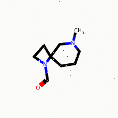 CN1CCCC2(CCN2C=O)C1